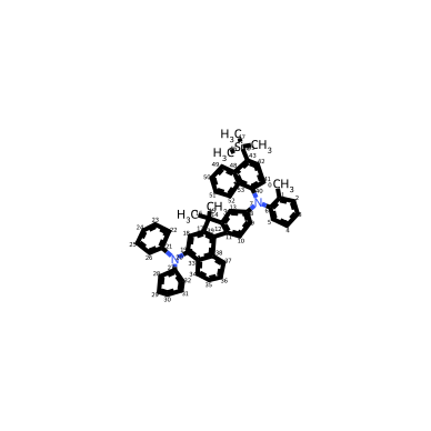 Cc1ccccc1N(c1ccc2c(c1)C(C)(C)c1cc(N(c3ccccc3)c3ccccc3)c3ccccc3c1-2)c1ccc([Si](C)(C)C)c2ccccc12